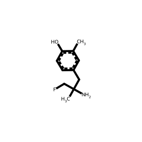 Cc1cc(CC(C)(N)CF)ccc1O